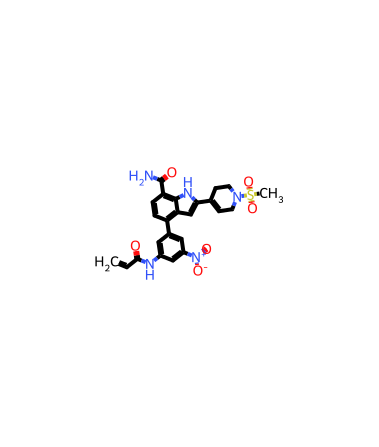 C=CC(=O)Nc1cc(-c2ccc(C(N)=O)c3[nH]c(C4=CCN(S(C)(=O)=O)CC4)cc23)cc([N+](=O)[O-])c1